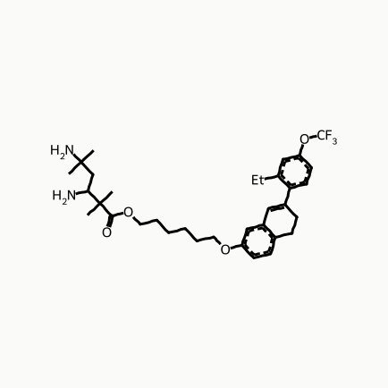 CCc1cc(OC(F)(F)F)ccc1C1=Cc2cc(OCCCCCCOC(=O)C(C)(C)C(N)CC(C)(C)N)ccc2CC1